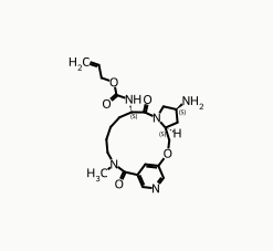 C=CCOC(=O)N[C@H]1CCCCN(C)C(=O)c2cncc(c2)OC[C@@H]2C[C@H](N)CN2C1=O